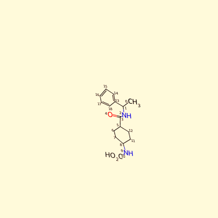 CC(NC(=O)C1CCC(NC(=O)O)CC1)c1ccccc1